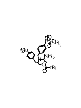 CC(C)(C)C(=O)OCC(Cc1ccc(C(C)(C)C)cc1)N(Cc1ccc(NS(C)(=O)=O)cc1)C(N)=S